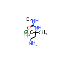 CCNC(=O)NC(C)(C)CCN.Cl